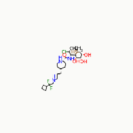 C[C@H](Cl)[C@@H](NC(=O)[C@@H]1CC[C@H](CCCNCC(F)(F)C2CCC2)CCN1)[C@@H]1[C@H](O)[C@@H](O)[C@@H](O)C[SH]1C